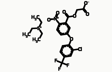 CC[S+](CC)CC.O=C([O-])COC(=O)c1cc(Oc2ccc(C(F)(F)F)cc2Cl)ccc1[N+](=O)[O-]